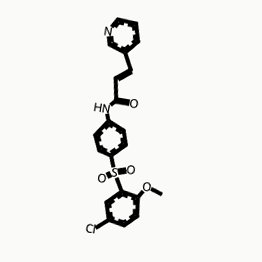 COc1ccc(Cl)cc1S(=O)(=O)c1ccc(NC(=O)C=Cc2cccnc2)cc1